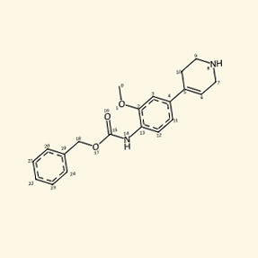 COc1cc(C2=CCNCC2)ccc1NC(=O)OCc1ccccc1